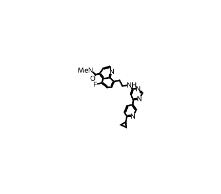 CNC(=O)c1ccnc2c(CCNc3cc(-c4ccc(C5CC5)nc4)ncn3)ccc(F)c12